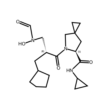 O=CN(O)C[C@@H](CC1CCCC1)C(=O)N1CC2(CC2)C[C@H]1C(=O)NC1CC1